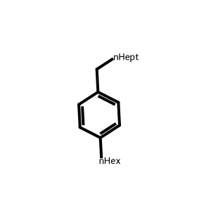 [CH2]CCCCCc1ccc(CCCCCCCC)cc1